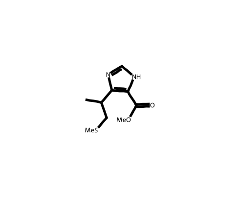 COC(=O)c1[nH]cnc1C(C)CSC